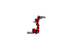 COC(=O)NCC(=O)N1CCC[C@H]1c1ncc(-c2ccc3cc(-c4ccc(-c5cnc([C@@H]6[C@H]7CC[C@H](C7)N6C(=O)[C@H](NC(=O)OC)c6ccccc6)[nH]5)cc4)ccc3c2)[nH]1